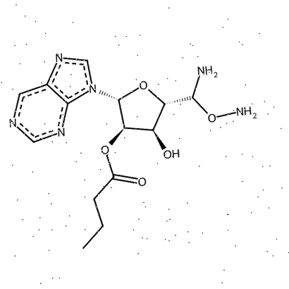 CCCC(=O)O[C@@H]1[C@H](O)[C@@H](C(N)ON)O[C@H]1n1cnc2cncnc21